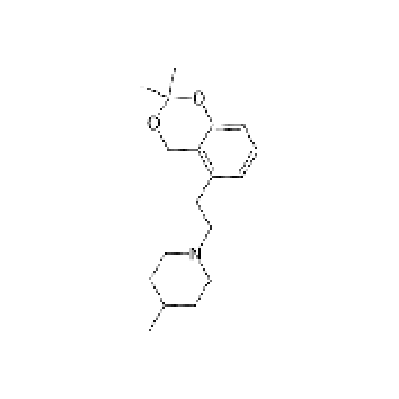 CC1CCN(CCc2cccc3c2COC(C)(C)O3)CC1